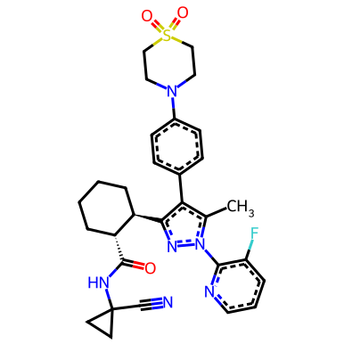 Cc1c(-c2ccc(N3CCS(=O)(=O)CC3)cc2)c([C@@H]2CCCC[C@H]2C(=O)NC2(C#N)CC2)nn1-c1ncccc1F